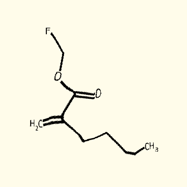 C=C(CCCC)C(=O)OCF